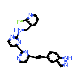 Fc1ncccc1CNc1nccc(-c2nccc(C#Cc3ccc4[nH]ncc4c3)n2)n1